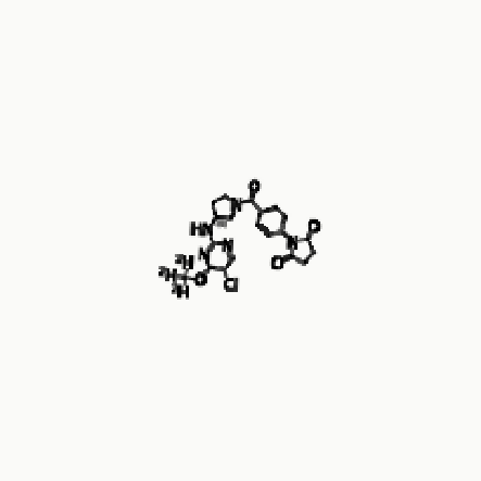 [2H]C([2H])([2H])Oc1nc(N[C@H]2CCN(C(=O)c3ccc(N4C(=O)CCC4=O)cc3)C2)ncc1Cl